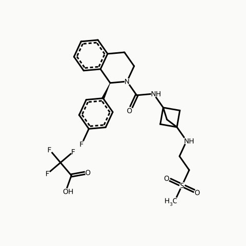 CS(=O)(=O)CCNC12CC(NC(=O)N3CCc4ccccc4[C@@H]3c3ccc(F)cc3)(C1)C2.O=C(O)C(F)(F)F